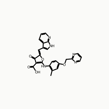 Cc1cc(OCc2ncccn2)ccc1NC1=C(C(=O)O)C(=O)C(=Cc2c[nH]c3ncccc23)O1